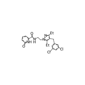 CCc1nn(CCNC(=O)c2cccc(=O)[nH]2)c(CC)c1Cc1cc(Cl)cc(Cl)c1